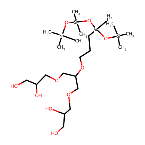 C[Si](C)(C)O[Si](C)(C)O[Si](C)(CCCOC(COCC(O)CO)COCC(O)CO)O[Si](C)(C)C